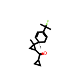 CC(C)(F)C1=CC[C@@](C)(C2(C)CC2C(=O)C2CC2)C=C1